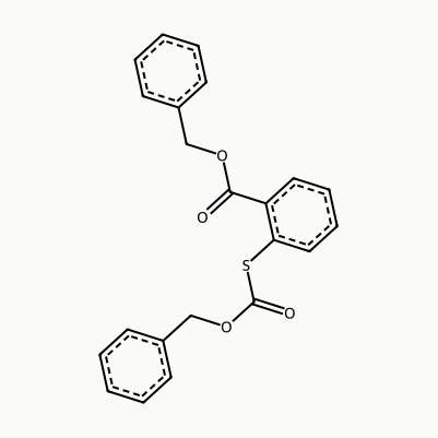 O=C(OCc1ccccc1)Sc1ccccc1C(=O)OCc1ccccc1